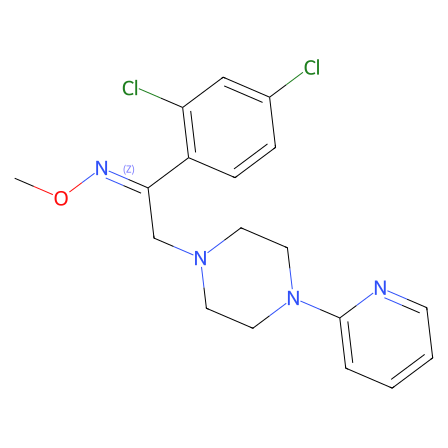 CO/N=C(\CN1CCN(c2ccccn2)CC1)c1ccc(Cl)cc1Cl